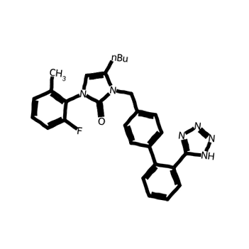 CCCCc1cn(-c2c(C)cccc2F)c(=O)n1Cc1ccc(-c2ccccc2-c2nnn[nH]2)cc1